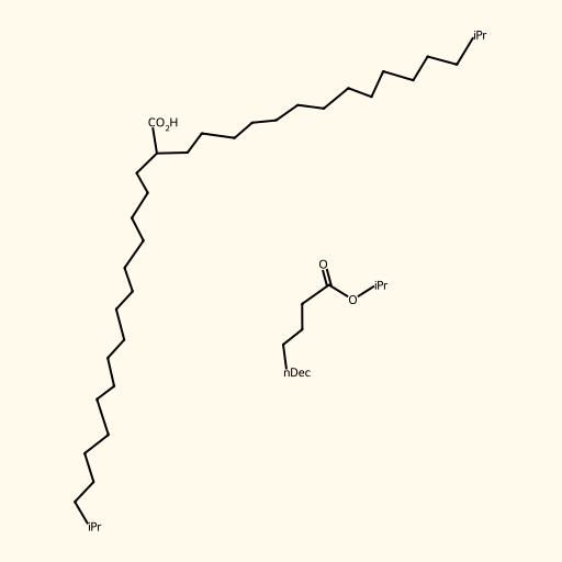 CC(C)CCCCCCCCCCCCCCCC(CCCCCCCCCCCCCC(C)C)C(=O)O.CCCCCCCCCCCCCC(=O)OC(C)C